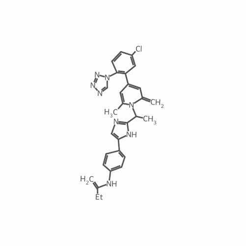 C=C(CC)Nc1ccc(-c2cnc(C(C)N3C(=C)C=C(c4cc(Cl)ccc4-n4cnnn4)C=C3C)[nH]2)cc1